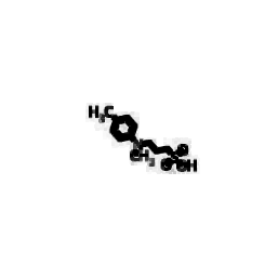 Cc1ccc(N(C)CCCS(=O)(=O)O)cc1